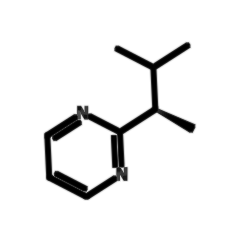 CC(C)[C@@H](C)c1ncccn1